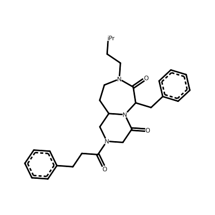 CC(C)CCN1CCC2CN(C(=O)CCc3ccccc3)CC(=O)N2C(Cc2ccccc2)C1=O